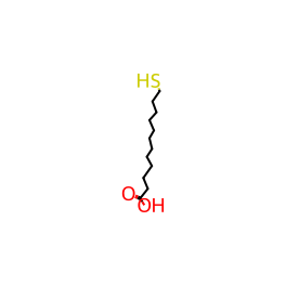 O=C(O)CCCCCCCCCCCS